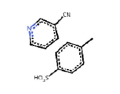 Cc1ccc(S(=O)(=O)O)cc1.N#Cc1cccnc1